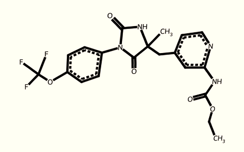 CCOC(=O)Nc1cc(CC2(C)NC(=O)N(c3ccc(OC(F)(F)F)cc3)C2=O)ccn1